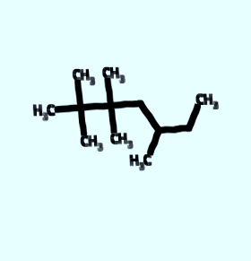 CCC(C)CC(C)(C)C(C)(C)C